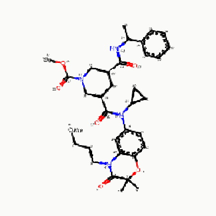 COCCCN1C(=O)C(C)(C)Oc2ccc(N(C(=O)[C@@H]3C[C@H](C(=O)NC(C)c4ccccc4)CN(C(=O)OC(C)(C)C)C3)C3CC3)cc21